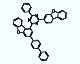 C1=CC2c3ccccc3OC2C=C1c1nc(-c2ccccc2)nc(-c2cc(-c3ccc(-c4ccccc4)cc3)cc3oc4ccccc4c23)n1